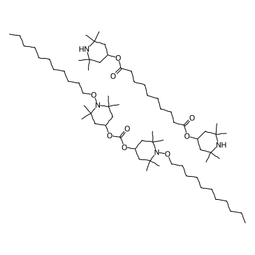 CC1(C)CC(OC(=O)CCCCCCCCC(=O)OC2CC(C)(C)NC(C)(C)C2)CC(C)(C)N1.CCCCCCCCCCCON1C(C)(C)CC(OC(=O)OC2CC(C)(C)N(OCCCCCCCCCCC)C(C)(C)C2)CC1(C)C